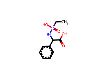 CCP(=O)(O)NC(C(=O)O)c1ccccc1